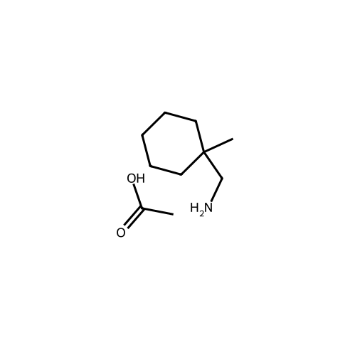 CC(=O)O.CC1(CN)CCCCC1